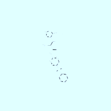 Cc1oncc1/C(O)=C(\C#N)C(=O)Nc1ncc(S(=O)(=O)c2ccccc2)cn1